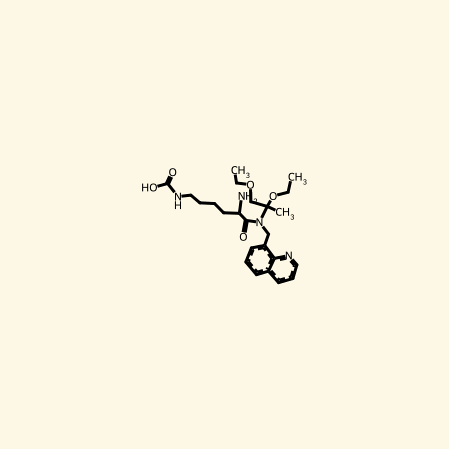 CCOCC(C)(OCC)N(Cc1cccc2cccnc12)C(=O)C(N)CCCCNC(=O)O